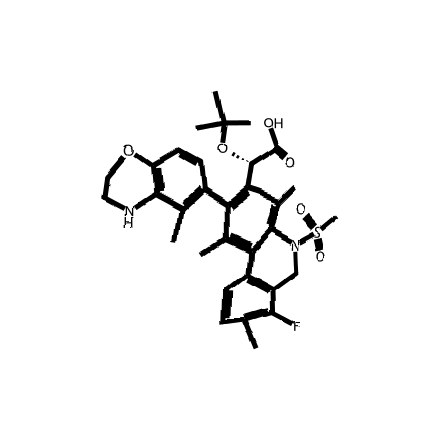 Cc1ccc2c(c1F)CN(S(C)(=O)=O)c1c(C)c([C@H](OC(C)(C)C)C(=O)O)c(-c3ccc4c(c3C)NCCO4)c(C)c1-2